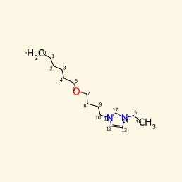 [CH2]CCCCCOCCCCN1C=CN(CC)C1